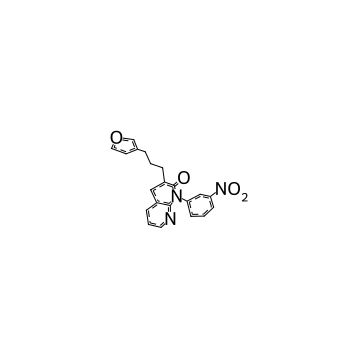 O=c1c(CCCc2ccoc2)cc2cccnc2n1-c1cccc([N+](=O)[O-])c1